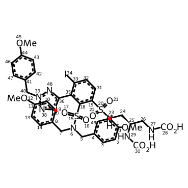 COc1ccc(CN(Cc2ccc(OC)cc2)S(=O)(=O)c2c(S(=O)(=O)NC[C@@H](CNC(=O)O)NC(=O)O)ccc(I)c2-c2nnn(Cc3ccc(OC)cc3)n2)cc1